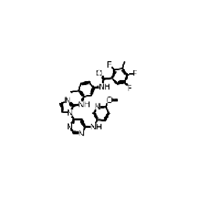 COc1ccc(Nc2cc(-n3ccnc3Nc3cc(NC(=O)c4cc(F)c(F)c(C)c4F)ccc3C)ncn2)cn1